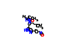 CCCCC1C=C(c2c[nH]c3ncc(-c4ccc(CN5CCOCC5)cc4)cc23)CCN1C(=O)NC(C)C